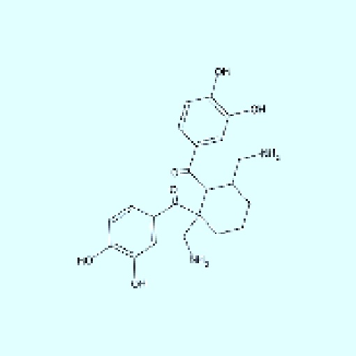 NCC1CCCC(CN)(C(=O)c2ccc(O)c(O)c2)C1C(=O)c1ccc(O)c(O)c1